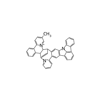 Cc1ccc2[n+](c1)C1C3C=C(C1c1ccccc1-2)[n+]1ccccc1-c1cc2c4cccc5c6ccccc6n(c2cc13)c54